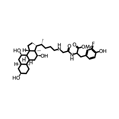 COC(=O)C(Cc1ccc(O)c(F)c1)NC(=O)CNCCC[C@@H](C)[C@H]1CC[C@H]2[C@@H]3[C@H](O)C[C@@H]4C[C@H](O)CC[C@]4(C)[C@H]3C[C@H](O)[C@]12C